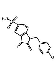 NS(=O)(=O)c1ccc2c(c1)C(=O)C(=O)N2Cc1ccc(Cl)cc1